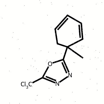 CC1(c2nnc(C(Cl)(Cl)Cl)o2)C=CC=CC1